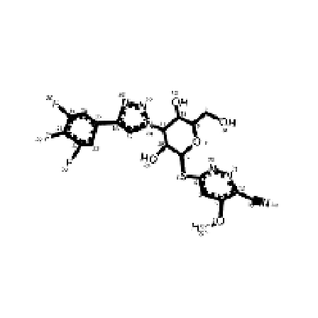 COc1cc(SC2OC(CO)C(O)C(n3cc(-c4cc(F)c(F)c(F)c4)nn3)C2O)nnc1C#N